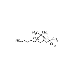 CC(C)(C)CC(CCCCCCCS)CC(C)(C)C